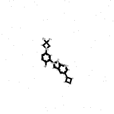 Fc1ccc(N2CC(F)(F)C2)cc1-n1cc2cc(C3CCC3)cnc2n1